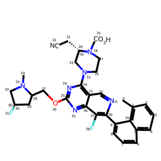 Cc1cccc2cccc(-c3ncc4c(N5CCN(C(=O)O)[C@@H](CC#N)C5)nc(OCC5C[C@@H](F)CN5C)nc4c3F)c12